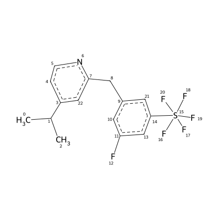 CC(C)c1ccnc(Cc2cc(F)cc(S(F)(F)(F)(F)F)c2)c1